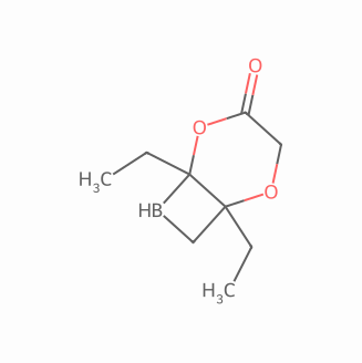 CCC12BCC1(CC)OCC(=O)O2